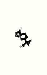 N#CC1(c2ccc3c(I)cnn3c2)CC1